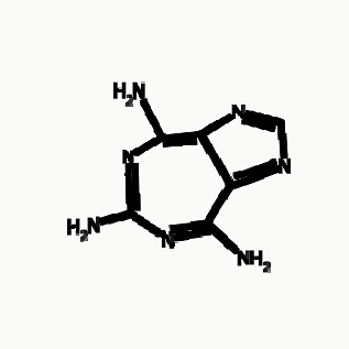 Nc1nc(N)c2ncnc-2c(N)n1